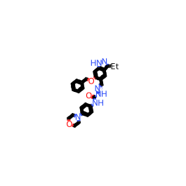 CCc1n[nH]c2cc(OCc3ccccc3)c(/C=N/NC(=O)Nc3ccc(N4CCOCC4)cc3)cc12